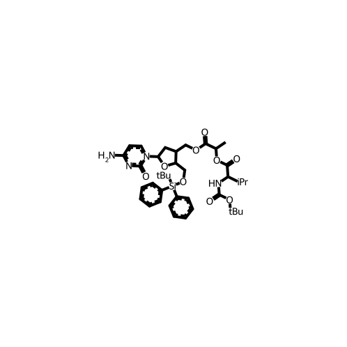 CC(OC(=O)C(NC(=O)OC(C)(C)C)C(C)C)C(=O)OCC1CC(n2ccc(N)nc2=O)OC1CO[Si](c1ccccc1)(c1ccccc1)C(C)(C)C